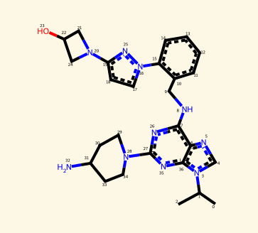 CC(C)n1cnc2c(NCc3ccccc3-n3ccc(N4CC(O)C4)n3)nc(N3CCC(N)CC3)nc21